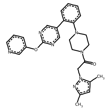 Cc1cc(C)n(CC(=O)N2CCN(c3ccccc3-c3cnc(Oc4cccnc4)nc3)CC2)n1